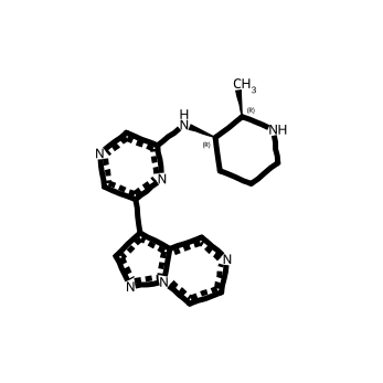 C[C@H]1NCCC[C@H]1Nc1cncc(-c2cnn3ccncc23)n1